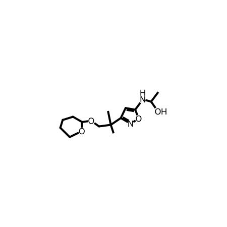 CC(O)Nc1cc(C(C)(C)COC2CCCCO2)no1